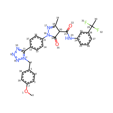 COc1ccc(Cn2nnnc2-c2ccc(N3N=C(C)C(C(=O)Nc4cccc(C(C)(F)F)c4)C3=O)cc2)cc1